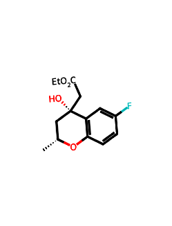 CCOC(=O)C[C@]1(O)C[C@@H](C)Oc2ccc(F)cc21